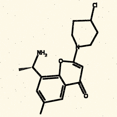 Cc1cc([C@H](C)N)c2oc(N3CCC(Cl)CC3)cc(=O)c2c1